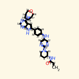 C=CC(=O)N[C@@H]1CCCN(c2ncc(Nc3ccc(-c4cc5c(N6C7CCC6COC7)ncnc5[nH]4)cc3)cn2)C1